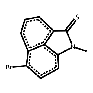 CN1C(=S)c2cccc3c(Br)ccc1c23